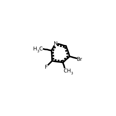 Cc1ncc(Br)c(C)c1F